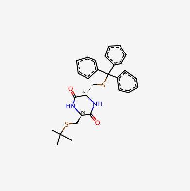 CC(C)(C)SC[C@H]1NC(=O)[C@H](CSC(c2ccccc2)(c2ccccc2)c2ccccc2)NC1=O